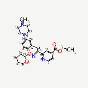 CCOC(=O)c1ccnc(/C(Cc2cccc(N3CCN(C)CC3)c2)=N/OC2CCCCO2)c1